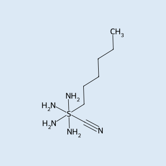 CCCCCCS(N)(N)(N)(N)C#N